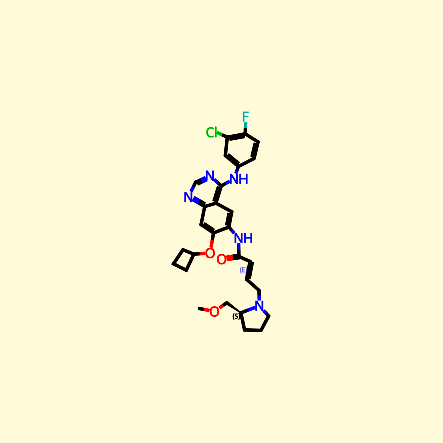 COC[C@@H]1CCCN1C/C=C/C(=O)Nc1cc2c(Nc3ccc(F)c(Cl)c3)ncnc2cc1OC1CCC1